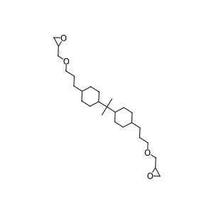 CC(C)(C1CCC(CCCOCC2CO2)CC1)C1CCC(CCCOCC2CO2)CC1